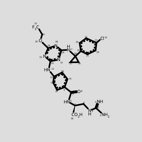 N=C(N)NC[C@H](NC(=O)c1ccc(Nc2nc(NC3(c4ccc(Cl)cc4)CC3)nc(OCC(F)(F)F)n2)cc1)C(=O)O